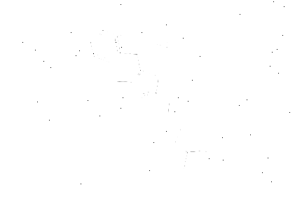 Cc1nc(COCCC(C)Br)sc1C(OC=O)c1ccccc1